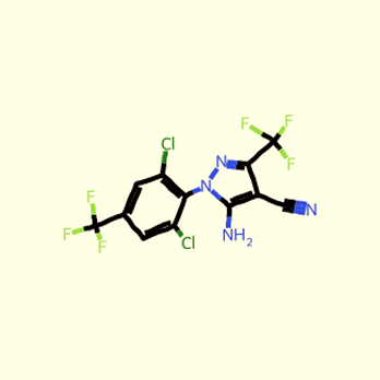 N#Cc1c(C(F)(F)F)nn(-c2c(Cl)cc(C(F)(F)F)cc2Cl)c1N